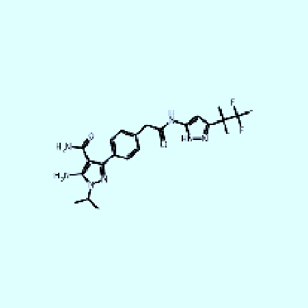 CC(C)n1nc(-c2ccc(CC(=O)Nc3cc(C(C)(C)C(F)(F)F)n[nH]3)cc2)c(C(N)=O)c1N